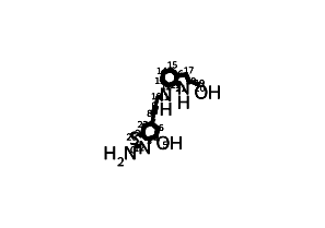 Nc1nc2c(O)cc(C#CCNc3cccc4cc(CO)[nH]c34)cc2s1